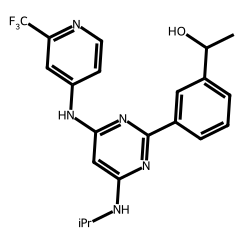 CC(C)Nc1cc(Nc2ccnc(C(F)(F)F)c2)nc(-c2cccc(C(C)O)c2)n1